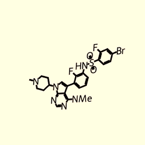 CNc1ncnc2c1c(-c1cccc(NS(=O)(=O)c3ccc(Br)cc3F)c1F)cn2C1CCN(C)CC1